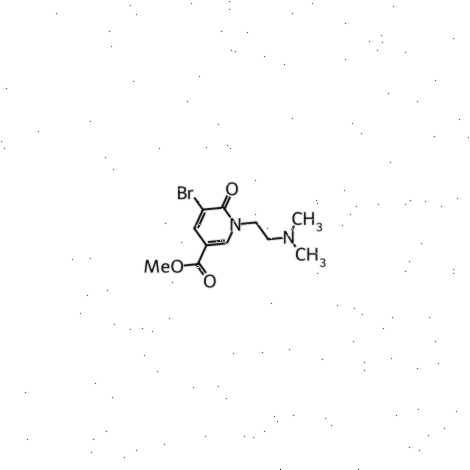 COC(=O)c1cc(Br)c(=O)n(CCN(C)C)c1